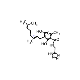 CC(C)=CCC/C(C)=C/Cc1c(O)cc(C)c(C(=O)NCc2nnn[nH]2)c1O